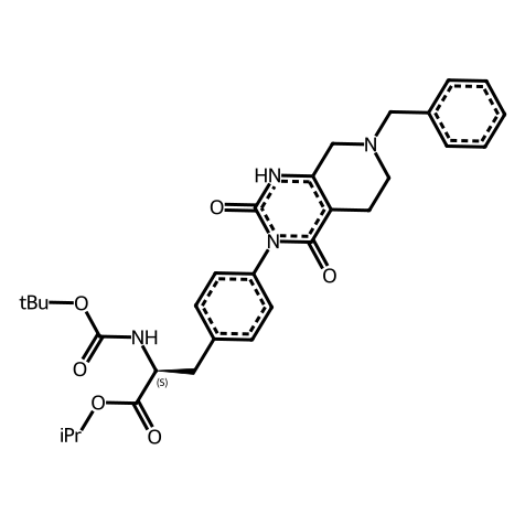 CC(C)OC(=O)[C@H](Cc1ccc(-n2c(=O)[nH]c3c(c2=O)CCN(Cc2ccccc2)C3)cc1)NC(=O)OC(C)(C)C